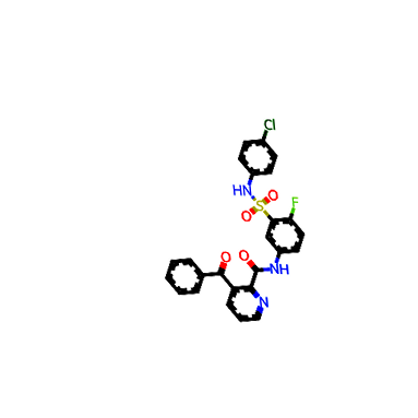 O=C(c1ccccc1)c1cccnc1C(=O)Nc1ccc(F)c(S(=O)(=O)Nc2ccc(Cl)cc2)c1